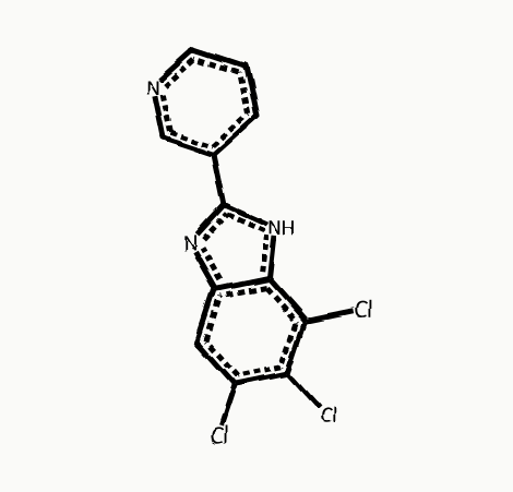 Clc1cc2nc(-c3cccnc3)[nH]c2c(Cl)c1Cl